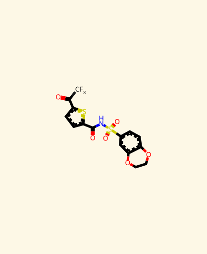 O=C(NS(=O)(=O)c1ccc2c(c1)OCCO2)c1ccc(C(=O)C(F)(F)F)s1